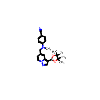 CN(Cc1ccn2ncc(B3OC(C)(C)C(C)(C)O3)c2c1)c1ccc(C#N)cc1